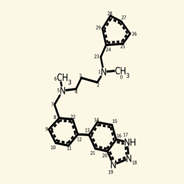 CN(CCCN(C)Cc1cccc(-c2ccc3[nH]nnc3c2)c1)Cc1ccccc1